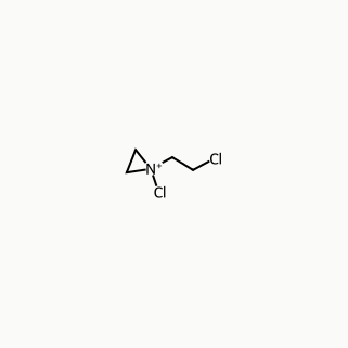 ClCC[N+]1(Cl)CC1